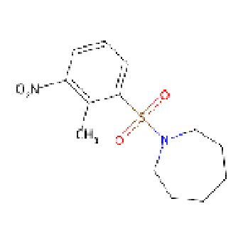 Cc1c([N+](=O)[O-])cccc1S(=O)(=O)N1CCCCCC1